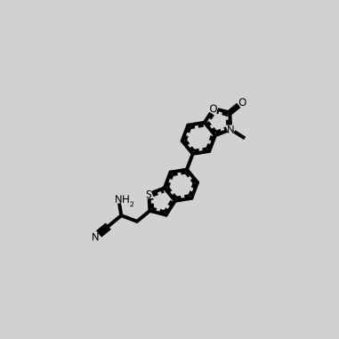 Cn1c(=O)oc2ccc(-c3ccc4cc(CC(N)C#N)sc4c3)cc21